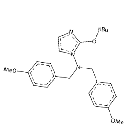 CCCCOc1nccn1N(Cc1ccc(OC)cc1)Cc1ccc(OC)cc1